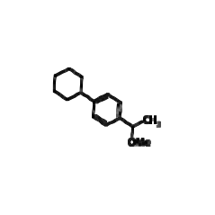 COC(C)c1ccc(C2CCCCC2)cc1